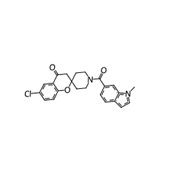 Cn1ccc2ccc(C(=O)N3CCC4(CC3)CC(=O)c3cc(Cl)ccc3O4)cc21